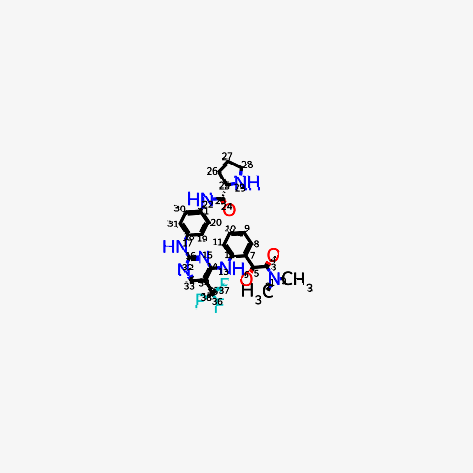 CN(C)C(=O)C(=O)c1ccccc1Nc1nc(Nc2ccc(NC(=O)[C@@H]3CCCN3)cc2)ncc1C(F)(F)F